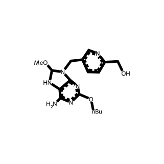 CCCCOc1nc(N)c2c(n1)N(Cc1ccc(CO)nc1)C(OC)N2